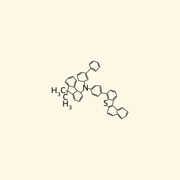 CC1(C)C2=CC=CC(N(c3ccc(-c4cccc5c4sc4ccc6ccccc6c45)cc3)C3C=C(c4ccccc4)C=CC3)C2c2ccccc21